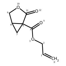 C=CCOC(=O)C12CC1COC2=O